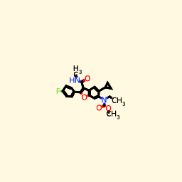 CCN(C(=O)OC)c1cc2oc(-c3ccc(F)cc3)c(C(=O)NC)c2cc1C1CC1